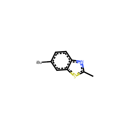 CCC(C)c1ccc2nc(C)sc2c1